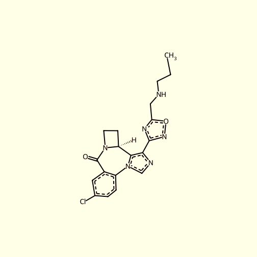 CCCNCc1nc(-c2ncn3c2[C@@H]2CCN2C(=O)c2cc(Cl)ccc2-3)no1